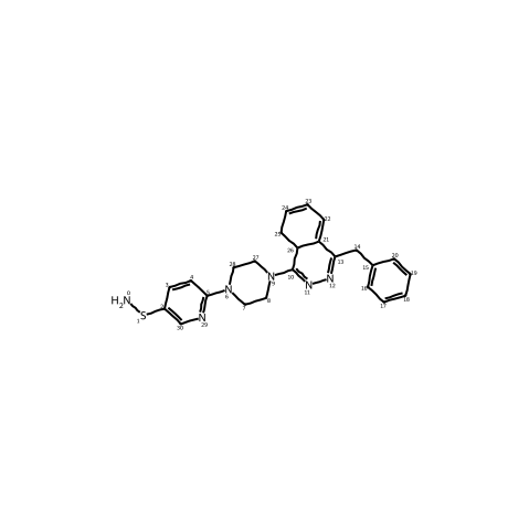 NSc1ccc(N2CCN(C3=NN=C(Cc4ccccc4)C4=CC=CCC43)CC2)nc1